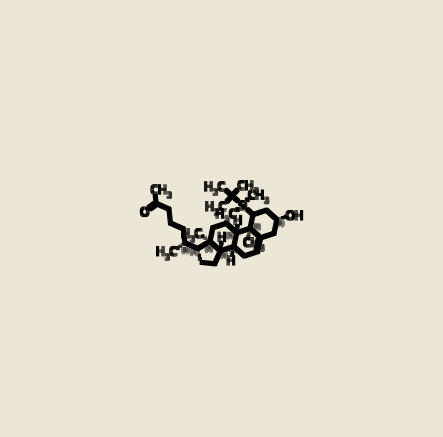 CC(=O)CCC[C@@H](C)[C@H]1CC[C@H]2[C@@H]3CC=C4C[C@@H](O)CC([Si](C)(C)C(C)(C)C)[C@]4(C)[C@H]3CC[C@]12C